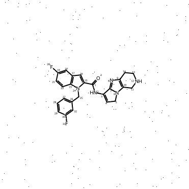 O=C(NC1=CCn2c1nc1c2CNCC1)c1cc2cc(F)ccc2n1Cc1cccc(F)c1